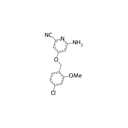 COc1cc(Cl)ccc1COc1cc(N)nc(C#N)c1